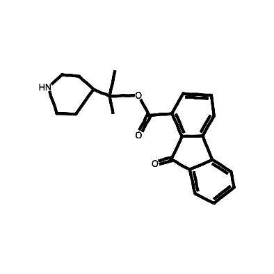 CC(C)(OC(=O)c1cccc2c1C(=O)c1ccccc1-2)C1CCNCC1